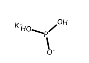 [K+].[O-]P(O)O